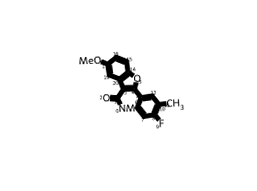 CNC(=O)c1c(-c2ccc(F)c(C)c2)oc2ccc(OC)cc12